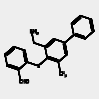 NCc1cc(-c2ccccc2)cc(C(F)(F)F)c1Sc1ccccc1C=O